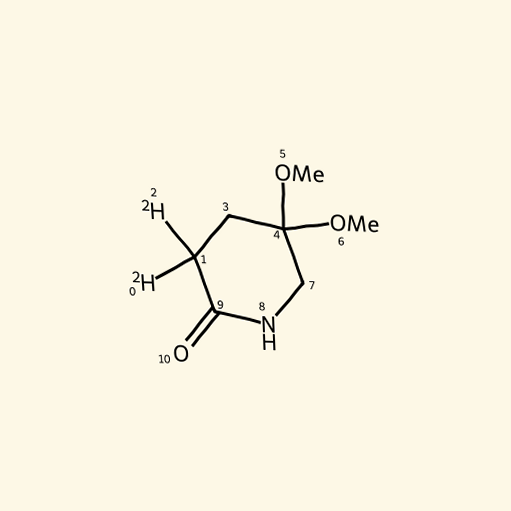 [2H]C1([2H])CC(OC)(OC)CNC1=O